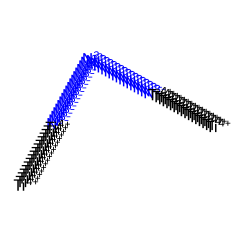 [N-3].[N-3].[N-3].[N-3].[N-3].[N-3].[N-3].[N-3].[N-3].[N-3].[N-3].[N-3].[N-3].[N-3].[N-3].[N-3].[N-3].[N-3].[N-3].[N-3].[N-3].[N-3].[N-3].[N-3].[N-3].[N-3].[N-3].[N-3].[N-3].[N-3].[N-3].[N-3].[N-3].[N-3].[N-3].[N-3].[Ti+4].[Ti+4].[Ti+4].[Ti+4].[Ti+4].[Ti+4].[Ti+4].[Ti+4].[Ti+4].[Ti+4].[Ti+4].[Ti+4].[Ti+4].[Ti+4].[Ti+4].[Ti+4].[Ti+4].[Ti+4].[Ti+4].[Ti+4].[Ti+4].[Ti+4].[Ti+4].[Ti+4].[Ti+4].[Ti+4].[Ti+4].[Ti+4].[Ti+4].[Ti+4].[Ti+4].[Ti+4].[Ti+4].[Ti+4]